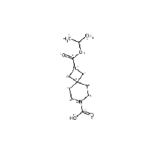 CC(C)OC(=O)N1CC2(CCN(C(=O)O)CC2)C1